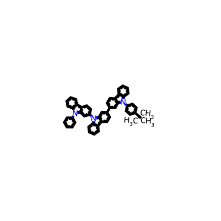 CC(C)(C)c1ccc(-n2c3ccccc3c3ccc(-c4ccc5c6ccccc6n(-c6ccc7c8ccccc8n(-c8ccccc8)c7c6)c5c4)cc32)cc1